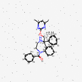 Cc1cc(C)nc(O[C@H](C(=O)O)[C@@]2(c3ccccc3)NCCN(C(=O)c3ccccc3)c3ccccc32)n1